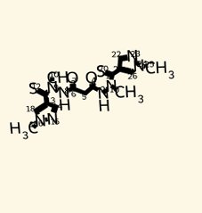 CN(NC(=O)CC(=O)NN(C)C(=S)c1cnn(C)c1)C(=S)c1cnn(C)c1